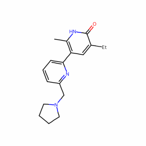 CCc1cc(-c2cccc(CN3CCCC3)n2)c(C)[nH]c1=O